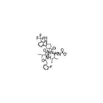 CCC(C)C(CNC(=O)OC)NC(=O)C1(NC(=O)C(NC(=O)Cc2ccccc2F)C(C)CC)CCc2[nH]c3c(C(F)(F)F)cccc3c2C1